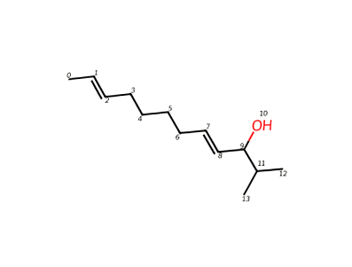 CC=CCCCCC=CC(O)C(C)C